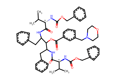 CC(C)[C@H](NC(=O)OCc1ccccc1)C(=O)NC(Cc1ccccc1)C(OC(=O)c1cccc(CN2CCOCC2)c1)C(Cc1ccccc1)NC(=O)[C@@H](NC(=O)OCc1ccccc1)C(C)C